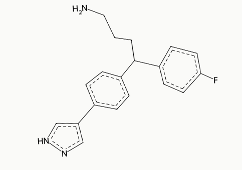 NCCCC(c1ccc(F)cc1)c1ccc(-c2cn[nH]c2)cc1